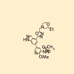 CCC1CN(Cc2nnc(-c3cc(-c4cnc(OC)c(NS(C)(=O)=O)c4)cc4[nH]ncc34)o2)CCO1